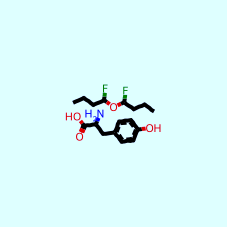 CCCC(F)OC(F)CCC.NC(Cc1ccc(O)cc1)C(=O)O